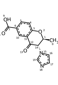 C[C@@H]1Oc2ccc(C(=O)O)cc2C(=O)[C@H]1n1ccnc1